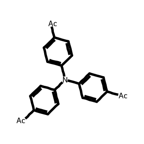 CC(=O)c1ccc(N(c2ccc(C(C)=O)cc2)c2ccc(C(C)=O)cc2)cc1